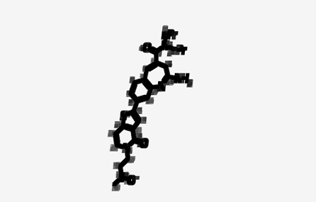 CCCN(CCC)C(=O)C1=Cc2ccc(-c3cc4c(=O)n(CC[S+](C)[O-])ccc4s3)cc2N=C(N)C1